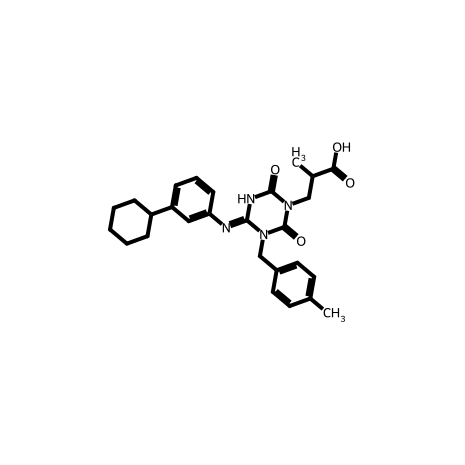 Cc1ccc(Cn2c(=O)n(CC(C)C(=O)O)c(=O)[nH]/c2=N\c2cccc(C3CCCCC3)c2)cc1